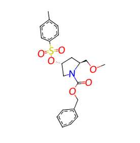 COC[C@@H]1C[C@@H](OS(=O)(=O)c2ccc(C)cc2)CN1C(=O)OCc1ccccc1